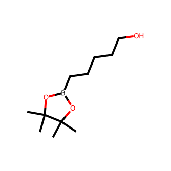 CC1(C)OB(CCCCCO)OC1(C)C